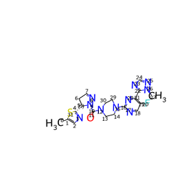 Cc1cnc([C@@H]2CC=NN2C(=O)N2CCN(c3ncc(F)c(-c4ncnn4C)n3)CC2)s1